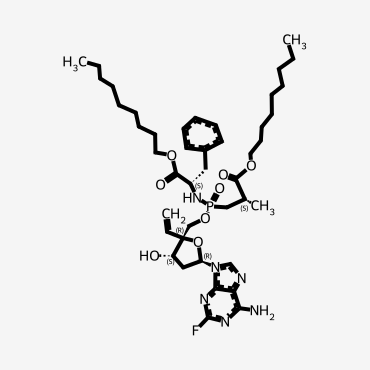 C=C[C@]1(COP(=O)(C[C@@H](C)C(=O)OCCCCCCCCC)N[C@@H](Cc2ccccc2)C(=O)OCCCCCCCCC)O[C@@H](n2cnc3c(N)nc(F)nc32)C[C@@H]1O